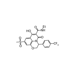 CCNC(=O)c1c(O)c2cc(S(C)(=O)=O)cc3c2n(c1=O)C(c1ccc(C(F)(F)F)cc1)CO3